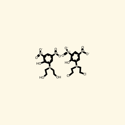 O=[N+]([O-])c1cc(N(CCCl)CCCl)c(O)c([N+](=O)[O-])c1.O=[N+]([O-])c1cc(N(CCO)CCO)c(O)c([N+](=O)[O-])c1